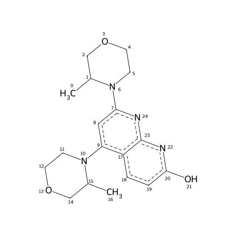 CC1COCCN1c1cc(N2CCOCC2C)c2ccc(O)nc2n1